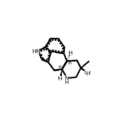 [2H]C1(C)CN[C@@H]2Cc3c[nH]c4cccc(c34)[C@H]2C1